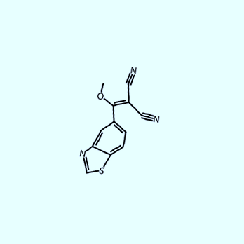 COC(=C(C#N)C#N)c1ccc2scnc2c1